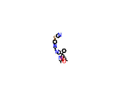 CCC[C@H](CC(C#N)(c1ccccc1)C1CCN(CC2CN(c3ccc(Sc4ccncc4)cc3)C2)CC1)OC(=O)C(C)C